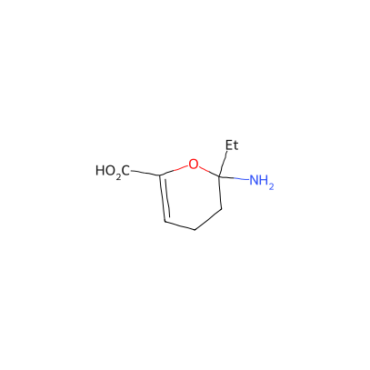 CCC1(N)CCC=C(C(=O)O)O1